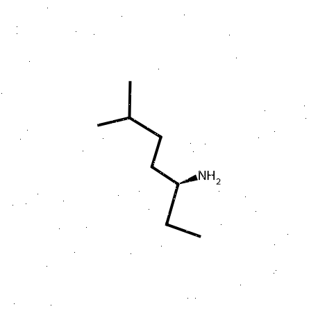 CC[C@H](N)CCC(C)C